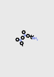 CCC(C)(c1ccc(N(c2ccccc2)c2ccc(N(c3ccccc3)c3ccc(C)cc3)cc2)cc1)C(C)N